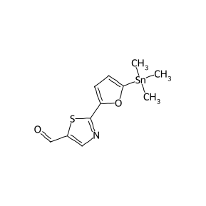 [CH3][Sn]([CH3])([CH3])[c]1ccc(-c2ncc(C=O)s2)o1